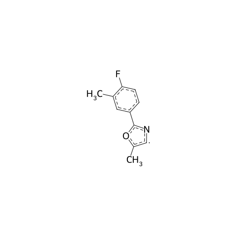 Cc1[c]nc(-c2ccc(F)c(C)c2)o1